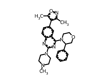 Cc1noc(C)c1-c1ccc2nc(N3CCN(C)CC3)nc(N3CCOCC3c3ccccc3)c2c1